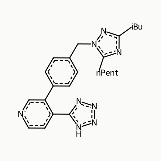 CCCCCc1nc(C(C)CC)nn1Cc1ccc(-c2cnccc2-c2nnn[nH]2)cc1